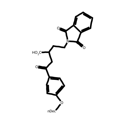 CCCCCCCCCCOc1ccc(C(=O)CC(CCN2C(=O)c3ccccc3C2=O)C(=O)O)cc1